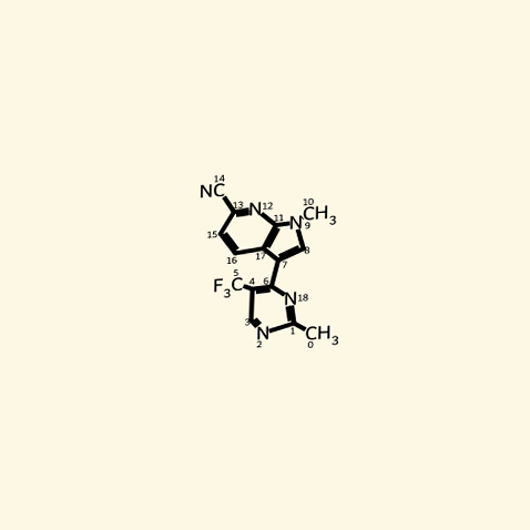 Cc1ncc(C(F)(F)F)c(-c2cn(C)c3nc(C#N)ccc23)n1